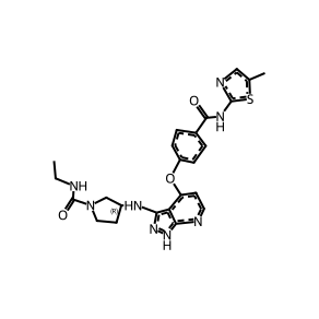 CCNC(=O)N1CC[C@@H](Nc2n[nH]c3nccc(Oc4ccc(C(=O)Nc5ncc(C)s5)cc4)c23)C1